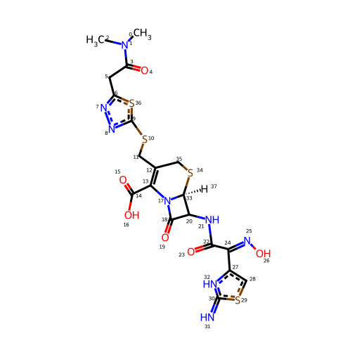 CN(C)C(=O)Cc1nnc(SCC2=C(C(=O)O)N3C(=O)C(NC(=O)C(=NO)c4csc(=N)[nH]4)[C@@H]3SC2)s1